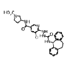 O=C(NNc1ncc(C(=O)NC2CCN(C(=O)O)C2)cc1Cl)NC1c2ccccc2CCc2ccccc21